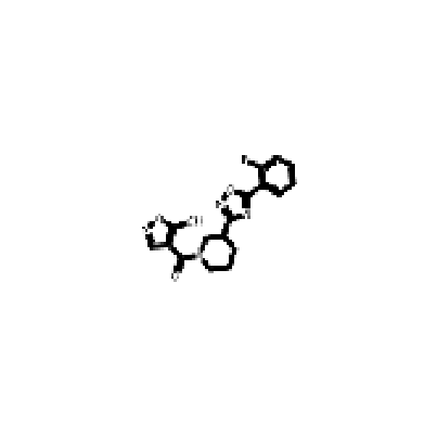 Cc1oncc1C(=O)N1CCCC(c2noc(-c3ccccc3F)n2)C1